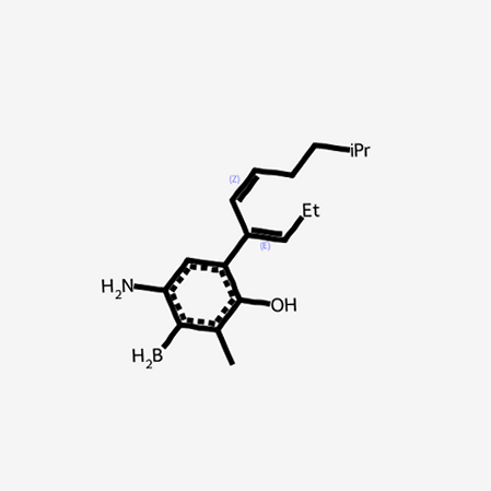 Bc1c(N)cc(C(/C=C\CCC(C)C)=C/CC)c(O)c1C